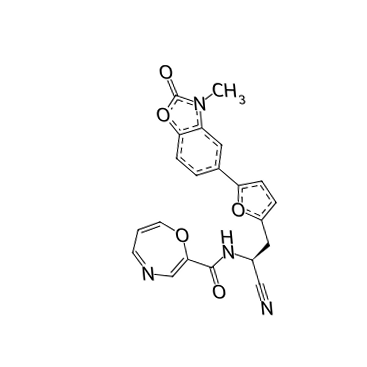 Cn1c(=O)oc2ccc(-c3ccc(C[C@@H](C#N)NC(=O)C4=CN=CC=CO4)o3)cc21